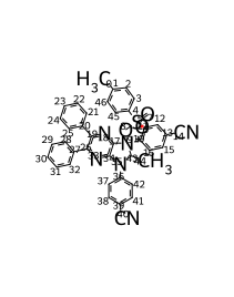 Cc1ccc(S(=O)(=O)O[N+]2(c3ccc(C#N)cc3)c3nc(-c4ccccc4)c(-c4ccccc4)nc3N(c3ccc(C#N)cc3)C2C)cc1